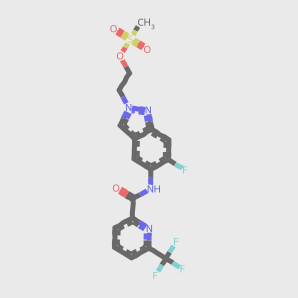 CS(=O)(=O)OCCn1cc2cc(NC(=O)c3cccc(C(F)(F)F)n3)c(F)cc2n1